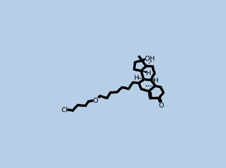 CC1(O)CC[C@H]2[C@@H]3C(CCCCCCCOCCCCCl)CC4=CC(=O)CC[C@]4(C)[C@@H]3CC[C@@]21C